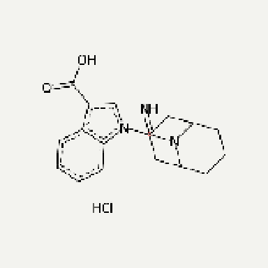 Cl.N=CN1C2CCCC1CC(n1cc(C(=O)O)c3ccccc31)C2